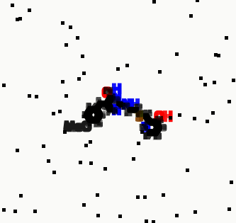 COc1ccc(Cc2cnc(NCCSCc3ncccc3O)[nH]c2=O)cc1